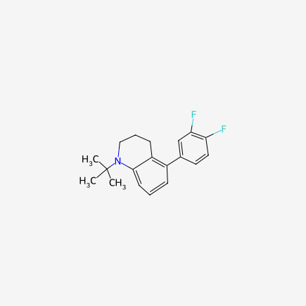 CC(C)(C)N1CCCc2c(-c3ccc(F)c(F)c3)cccc21